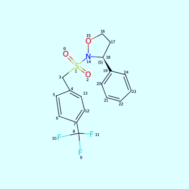 O=S(=O)(Cc1ccc(C(F)(F)F)cc1)N1OCC[C@H]1c1ccccc1